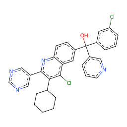 OC(c1cccnc1)(c1cccc(Cl)c1)c1ccc2nc(-c3cncnc3)c(C3CCCCC3)c(Cl)c2c1